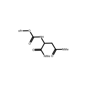 CCCOC(=O)NC(CC(=O)NC)C(=O)NC